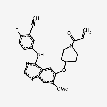 C#Cc1cc(Nc2ncnc3cc(OC)c(OC4CCN(C(=O)C=C)CC4)cc23)ccc1F